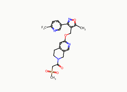 Cc1onc(-c2ccc(C(F)(F)F)nc2)c1COc1cc2c(cn1)CN(C(=O)CS(C)(=O)=O)CC2